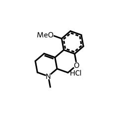 COc1cccc2c1C1=CCCN(C)C1CO2.Cl